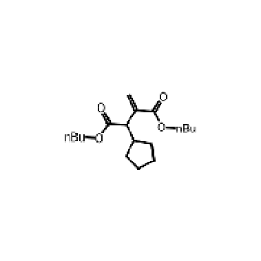 C=C(C(=O)OCCCC)C(C(=O)OCCCC)C1CCCC1